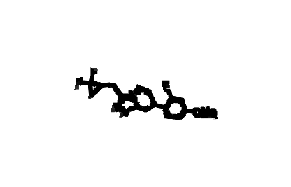 COc1ccc(-c2ccn3c(CC4CC4(F)F)nnc3c2)c(F)c1